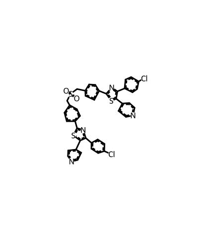 O=S(=O)(Cc1ccc(-c2nc(-c3ccc(Cl)cc3)c(-c3ccncc3)s2)cc1)Cc1ccc(-c2nc(-c3ccc(Cl)cc3)c(-c3ccncc3)s2)cc1